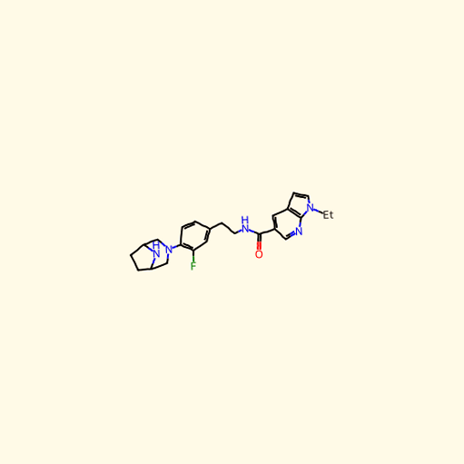 CCn1ccc2cc(C(=O)NCCc3ccc(N4CC5CCC(C4)N5)c(F)c3)cnc21